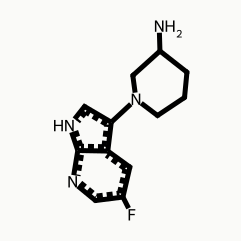 NC1CCCN(c2c[nH]c3ncc(F)cc23)C1